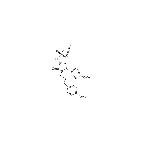 COc1ccc(CCCN2C(=O)N(NS(=O)(=O)CS(C)(=O)=O)CC2c2ccc(OC)cc2)cc1